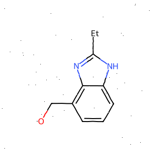 CCc1nc2c(C[O])cccc2[nH]1